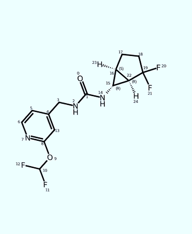 O=C(NCc1ccnc(OC(F)F)c1)N[C@@H]1[C@H]2CCC(F)(F)[C@H]21